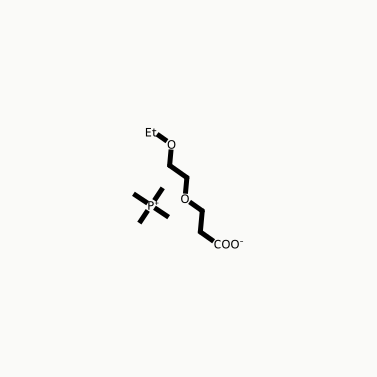 CCOCCOCCC(=O)[O-].C[P+](C)(C)C